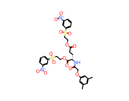 Cc1cc(C)cc(OCC(=O)N[C@@H](CCC(=O)OCCS(=O)(=O)c2cccc([N+](=O)[O-])c2)C(=O)OCCS(=O)(=O)c2cccc([N+](=O)[O-])c2)c1